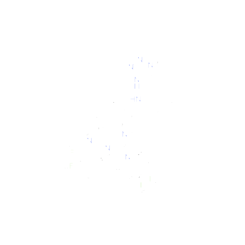 Cc1cc(C(C)Nc2ccccc2-c2nnn[nH]2)c2nc(N3CCC(F)(F)CC3)n3cc(C(F)(F)F)nc3c2c1